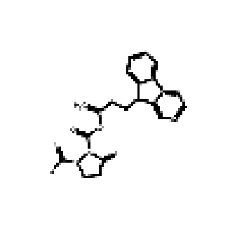 C=C(CCC1c2ccccc2-c2ccccc21)OC(=O)N1C(=O)CC[C@H]1C(=O)O